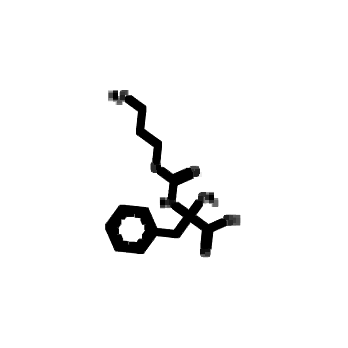 CCCCOC(=O)NC(C)(Cc1ccccc1)C(=O)O